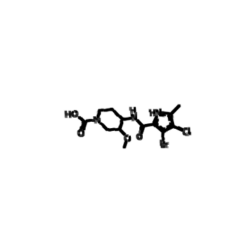 COC1CN(C(=O)O)CCC1NC(=O)c1[nH]c(C)c(Cl)c1Br